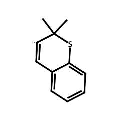 CC1(C)[C]=Cc2ccccc2S1